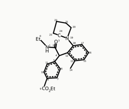 CCNC(=O)C(c1ccc(C(=O)OCC)cc1)c1c(C)cccc1N1CCCCC1